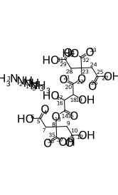 N.N.N.N.O=C(O)CC(CC(=O)O)(OC(=O)C(O)C(O)C(=O)OC(CC(=O)O)(CC(=O)O)C(=O)O)C(=O)O